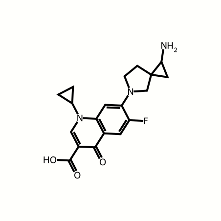 NC1CC12CCN(c1cc3c(cc1F)c(=O)c(C(=O)O)cn3C1CC1)C2